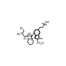 CC(C)C[C@@H](C#N)NC(=O)[C@@H]1CCCC[C@@]1(C(N)=O)c1c(C(=O)O)n(C)c2cc(CCC(C)(C)O)ccc12